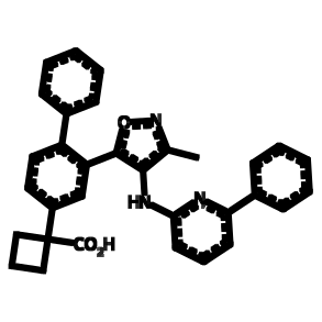 Cc1noc(-c2cc(C3(C(=O)O)CCC3)ccc2-c2ccccc2)c1Nc1cccc(-c2ccccc2)n1